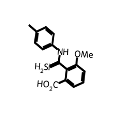 COc1cccc(C(=O)O)c1C(=[SiH2])Nc1ccc(C)cc1